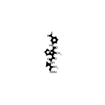 CN/C=C(\N)C1(NC(=O)C(=O)c2c(C)c(C(=O)Nc3cccc(C(F)F)c3)n3c2CCC3)CC1